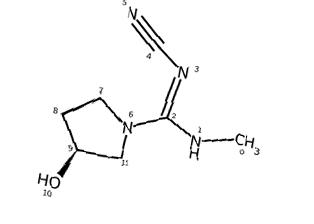 CN/C(=N/C#N)N1CC[C@H](O)C1